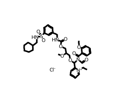 CC[n+]1ccccc1C(OCC(COC(=O)NCc1cccc(S(=O)(=O)NCC2CCCCC2)c1)OC)N(C=O)C(=O)c1ccccc1OC.[Cl-]